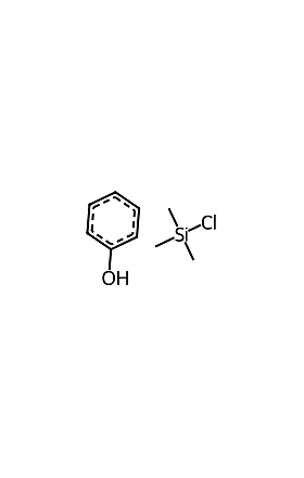 C[Si](C)(C)Cl.Oc1ccccc1